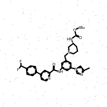 Cc1cn(-c2cc(CN3CCC[C@H](NC(=O)OC(C)(C)C)C3)cc(NC(=O)c3cc(-c4ccc(C(F)F)cc4)ccn3)c2)cn1